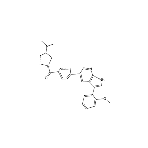 COc1ccccc1-c1c[nH]c2ncc(-c3ccc(C(=O)N4CCC(N(C)C)C4)cc3)cc12